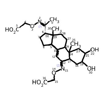 C/C(=N/OCC(=O)O)[C@H]1CCC2C3=C/C(=N\OCC(=O)O)C4CC(O)C(O)CC4(C)C3CCC21C